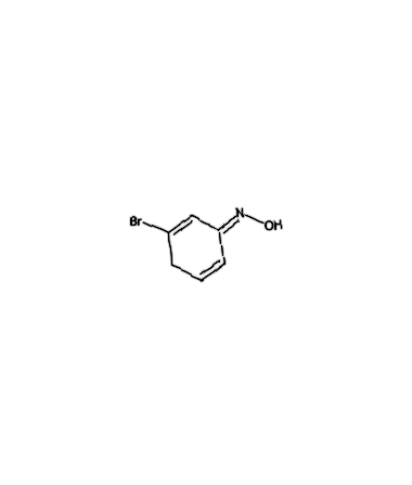 ON=C1C=CCC(Br)=C1